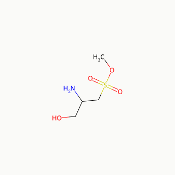 COS(=O)(=O)CC(N)CO